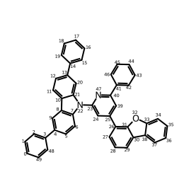 c1ccc(-c2ccc3c(c2)c2ccc(-c4ccccc4)cc2n3-c2cc(-c3cccc4c3oc3ccccc34)cc(-c3ccccc3)n2)cc1